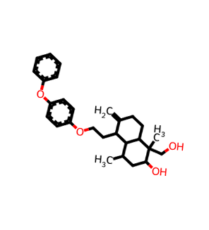 C=C1CCC2C(C(C)CC(O)C2(C)CO)C1CCOc1ccc(Oc2ccccc2)cc1